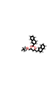 CC(C)(C)[Si](C)(C)OCCCC(Cc1ccc2ccccc2c1)OC(=O)c1ccc2ccccc2c1